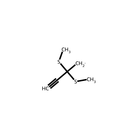 C#CC([CH2])(SC)SC